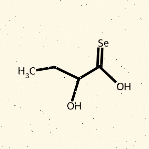 CCC(O)C(O)=[Se]